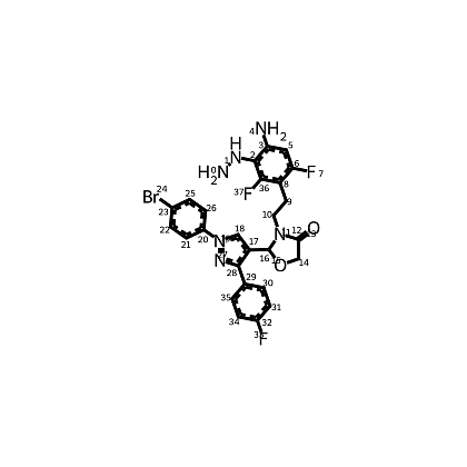 NNc1c(N)cc(F)c(CCN2C(=O)COC2c2cn(-c3ccc(Br)cc3)nc2-c2ccc(F)cc2)c1F